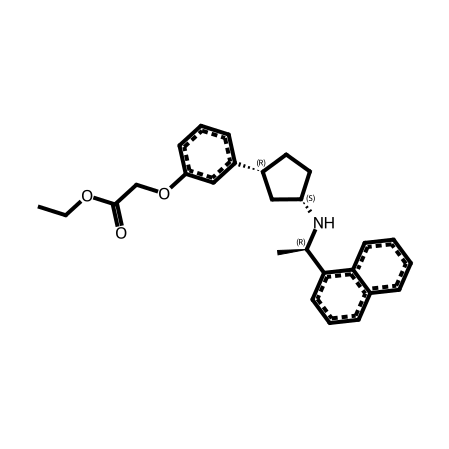 CCOC(=O)COc1cccc([C@@H]2CC[C@H](N[C@H](C)c3cccc4ccccc34)C2)c1